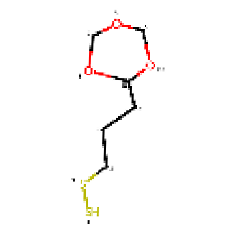 SSCCCC1OCOCO1